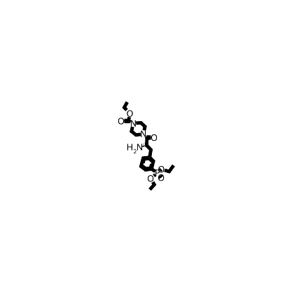 CCOC(=O)N1CCN(C(=O)[C@@H](N)Cc2cccc(P(=O)(OCC)OCC)c2)CC1